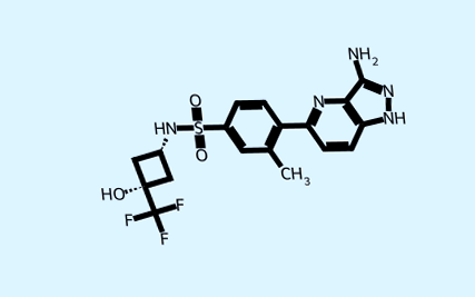 Cc1cc(S(=O)(=O)N[C@H]2C[C@](O)(C(F)(F)F)C2)ccc1-c1ccc2[nH]nc(N)c2n1